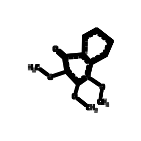 COc1c(OC)n(OC)c2ccccc2c1=O